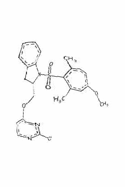 COc1cc(C)c(S(=O)(=O)N2c3ccccc3C[C@H]2COc2ccnc(Cl)n2)c(C)c1